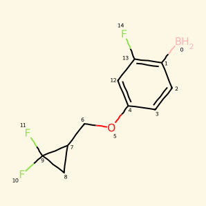 Bc1ccc(OCC2CC2(F)F)cc1F